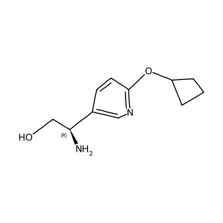 N[C@@H](CO)c1ccc(OC2CCC2)nc1